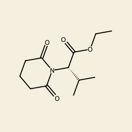 CCOC(=O)[C@H](C(C)C)N1C(=O)CCCC1=O